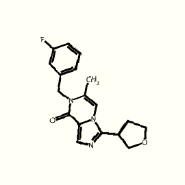 Cc1cn2c(C3CCOC3)ncc2c(=O)n1Cc1cccc(F)c1